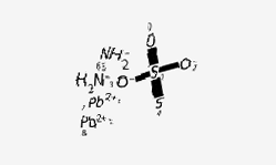 O=S([O-])([O-])=S.[NH2-].[NH2-].[Pb+2].[Pb+2]